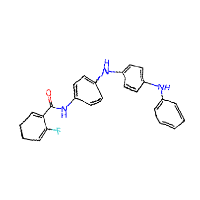 O=C(Nc1ccc(Nc2ccc(Nc3ccccc3)cc2)cc1)C1=CCCC=C1F